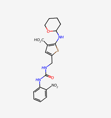 O=C(NCc1cc(C(=O)O)c(NC2CCCCO2)s1)Nc1ccccc1[N+](=O)[O-]